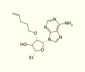 C=CCCCO[C@H]1C(O)[C@@H](CC)O[C@H]1n1cnc2c(N)ncnc21